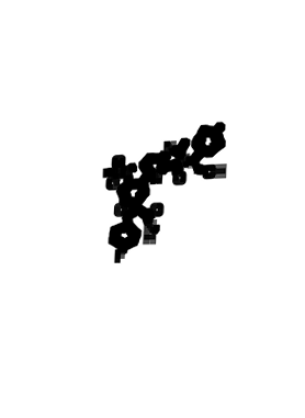 CNC(=O)c1c(-c2ccc(F)cc2)oc2cc(N(C)S(C)(=O)=O)c(-c3ccc4nc(C)n([C@H](CO)c5ccc(C)cc5)c(=O)c4n3)cc12